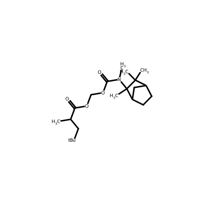 CC(CC(C)(C)C)C(=O)OCOC(=O)N(C)C1(C)C2CCC(C2)C1(C)C